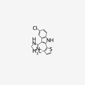 Cc1ccsc1-c1[nH]c2ccc(Cl)cc2c1C1=NCCN1